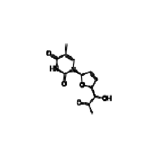 CC(=O)C(O)[C@@H]1C=C[C@H](n2cc(C)c(=O)[nH]c2=O)O1